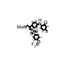 CNCc1cn(S(=O)(=O)c2ccc(OC(F)(F)F)cc2)c2cc(Nc3ccc(C)cc3Cl)ccc12